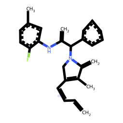 C=C/C=C\C1=C(C)C(=C)N(C(C(=C)Nc2cc(C)ccc2F)c2ccccc2)C1